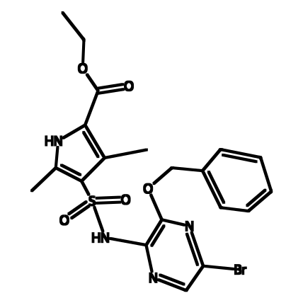 CCOC(=O)c1[nH]c(C)c(S(=O)(=O)Nc2ncc(Br)nc2OCc2ccccc2)c1C